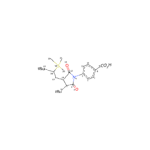 CC(C)(C)C1C(=O)N(c2ccc(C(=O)O)cc2)C(=O)C1CC(C(C)(C)C)S(C)(C)C